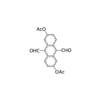 CC(=O)Oc1ccc2c(C=O)c3cc(OC(C)=O)ccc3c(C=O)c2c1